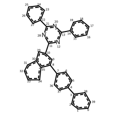 c1ccc(-c2ccc(-c3cc(-c4nc(-c5ccccc5)nc(-c5ccccc5)n4)cc4ccccc34)cc2)cc1